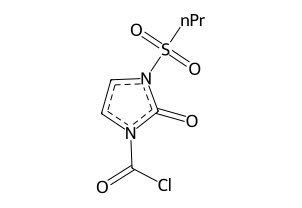 CCCS(=O)(=O)n1ccn(C(=O)Cl)c1=O